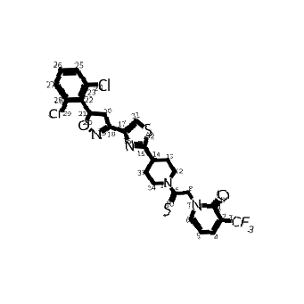 O=c1c(C(F)(F)F)cccn1CC(=S)N1CCC(c2nc(C3=NOC(c4c(Cl)cccc4Cl)C3)cs2)CC1